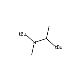 CC(N(C)C(C)(C)C)C(C)(C)C